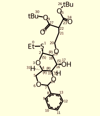 CCS[C@@H]1O[C@@H]2COC(c3ccccc3)O[C@@H]2[C@H](O)[C@H]1OCCC(C(=O)OC(C)(C)C)C(=O)OC(C)(C)C